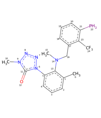 Cc1cccc(-n2nnn(C)c2=O)c1N(C)Cc1cccc(P)c1C(F)(F)F